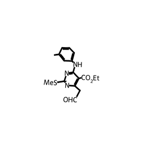 CCOC(=O)c1c(CC=O)nc(SC)nc1Nc1cccc(C)c1